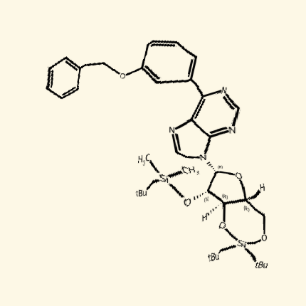 CC(C)(C)[Si](C)(C)O[C@H]1[C@@H]2O[Si](C(C)(C)C)(C(C)(C)C)OC[C@H]2O[C@H]1n1cnc2c(-c3cccc(OCc4ccccc4)c3)ncnc21